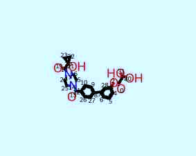 O=C(Oc1cccc(-c2ccc(C(=O)N3CCN(C(=O)C4(O)CC4)CC3)cc2)c1)C(O)O